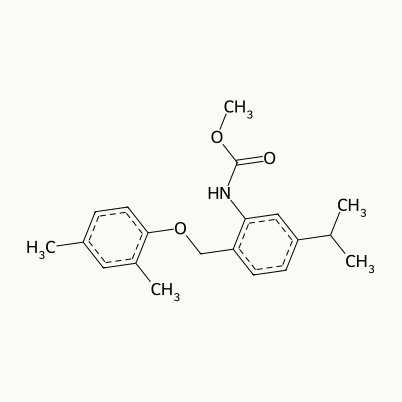 COC(=O)Nc1cc(C(C)C)ccc1COc1ccc(C)cc1C